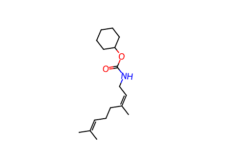 CC(C)=CCC/C(C)=C\CNC(=O)OC1CCCCC1